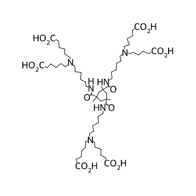 CC1(C(=O)NCCCCCCN(CCCCCC(=O)O)CCCCCC(=O)O)CC(C)(C(=O)NCCCCCCN(CCCCCC(=O)O)CCCCCC(=O)O)CC(C)(C(=O)NCCCCCCN(CCCCCC(=O)O)CCCCCC(=O)O)C1